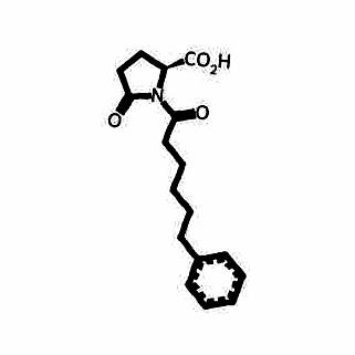 O=C(O)[C@@H]1CCC(=O)N1C(=O)CCCCCc1ccccc1